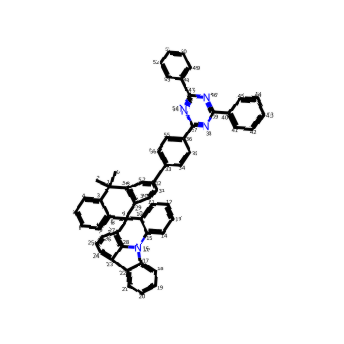 CC1(C)c2ccccc2C2(c3ccccc3-n3c4ccccc4c4cccc2c43)c2ccc(-c3ccc(-c4nc(-c5ccccc5)nc(-c5ccccc5)n4)cc3)cc21